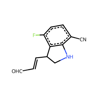 N#Cc1ccc(F)c2c1NCC2/C=C/C=O